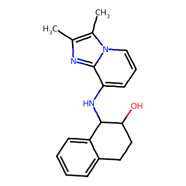 Cc1nc2c(NC3c4ccccc4CCC3O)cccn2c1C